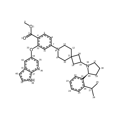 COC(=O)c1ccc(N2CCC3(CC2)CC(N2CCC[C@H]2c2ccccc2C(C)C)C3)cc1Oc1cnc2[nH]ccc2c1